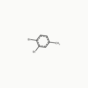 CCc1ccc(C)cc1CC